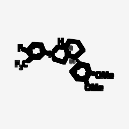 COc1ccc([C@H]2CCC[C@H]3CN(c4ccc(F)c(C(F)(F)F)c4)CCN32)cc1OC